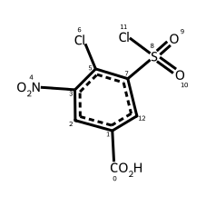 O=C(O)c1cc([N+](=O)[O-])c(Cl)c(S(=O)(=O)Cl)c1